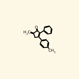 C=C1CC(c2ccc(C)cc2)=C(c2ccccc2)C1=O